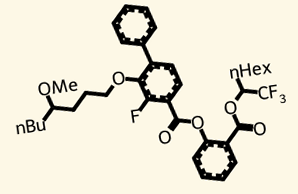 CCCCCCC(OC(=O)c1ccccc1OC(=O)c1ccc(-c2ccccc2)c(OCCCC(CCCC)OC)c1F)C(F)(F)F